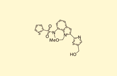 COCn1c(-c2ncc(CO)s2)cc2cccc(N(C)S(=O)(=O)c3cccs3)c21